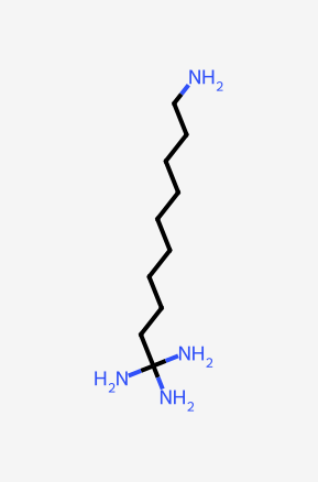 NCCCCCCCCCC(N)(N)N